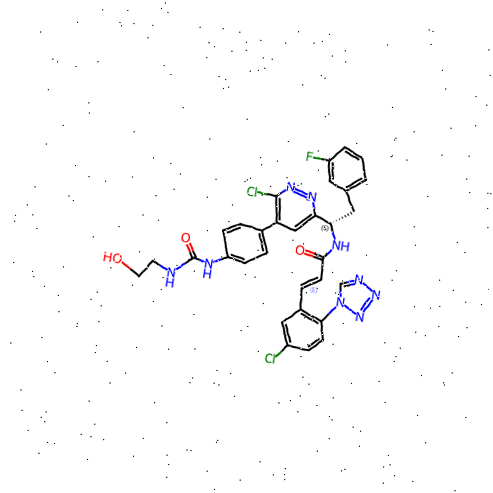 O=C(/C=C/c1cc(Cl)ccc1-n1cnnn1)N[C@@H](Cc1cccc(F)c1)c1cc(-c2ccc(NC(=O)NCCO)cc2)c(Cl)nn1